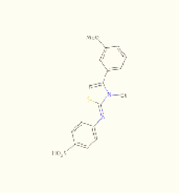 CCn1c(-c2cccc(OC)c2)csc1=Nc1ccc(S(=O)(=O)O)cc1